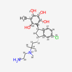 Bc1c(O)c(O)c(O)c([C@@H]2C[C@@H](CCC(C)(C)N(C)CCN)c3cc(Cl)ccc32)c1O